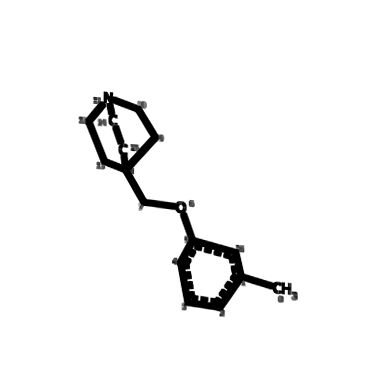 Cc1cccc(OCC23CCN(CC2)CC3)c1